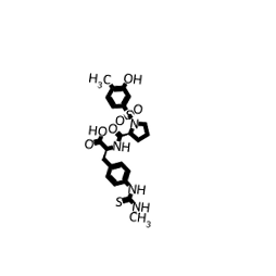 CNC(=S)Nc1ccc(C[C@H](NC(=O)[C@@H]2CCCN2S(=O)(=O)c2ccc(C)c(O)c2)C(=O)O)cc1